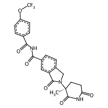 C[C@]1(N2Cc3ccc(C(=O)NC(=O)c4ccc(OC(F)(F)F)cc4)cc3C2=O)CCC(=O)NC1=O